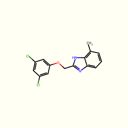 Cc1cccc2nc(COc3cc(Cl)cc(Cl)c3)[nH]c12